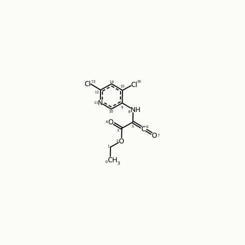 CCOC(=O)C(=C=O)Nc1cnc(Cl)cc1Cl